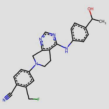 CC(O)c1ccc(Nc2ncnc3c2CCN(c2ccc(C#N)c(CF)c2)C3)cc1